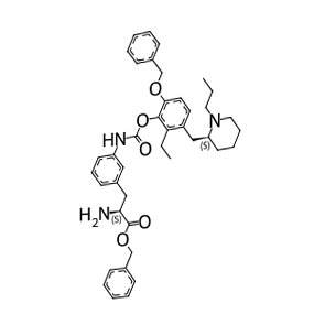 CCCN1CCCC[C@H]1Cc1ccc(OCc2ccccc2)c(OC(=O)Nc2cccc(C[C@H](N)C(=O)OCc3ccccc3)c2)c1CC